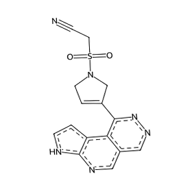 N#CCS(=O)(=O)N1CC=C(c2nncc3cnc4[nH]ccc4c23)C1